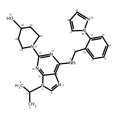 CC(C)n1cnc2c(NCc3ccccc3-n3cccn3)nc(N3CCC(O)CC3)nc21